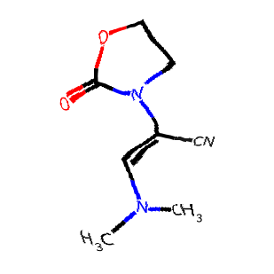 CN(C)C=C(C#N)N1CCOC1=O